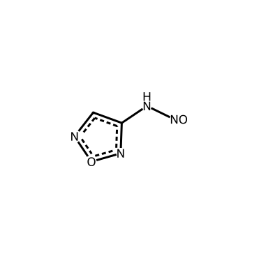 O=NNc1cnon1